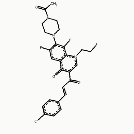 CC(=O)N1CCN(c2c(F)cc3c(=O)c(C(=O)C=Cc4ccc(Cl)cc4)cn(CCF)c3c2F)CC1